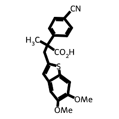 COc1cc2cc(CC(C)(C(=O)O)c3ccc(C#N)cc3)sc2cc1OC